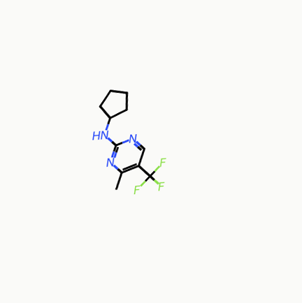 Cc1nc(NC2CCCC2)ncc1C(F)(F)F